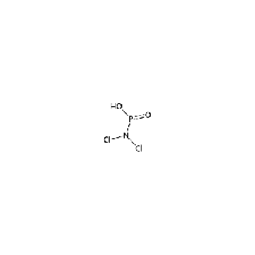 O=[P](O)N(Cl)Cl